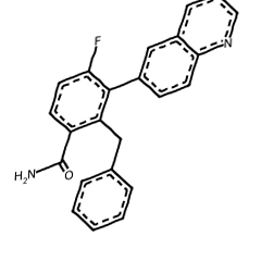 NC(=O)c1ccc(F)c(-c2ccc3ncncc3c2)c1Cc1ccccc1